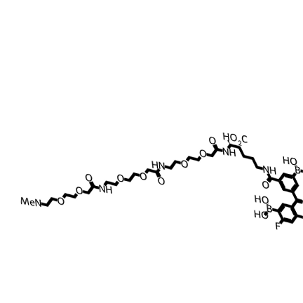 CNCCOCCOCC(=O)NCCOCCOCC(=O)NCCOCCOCC(=O)N[C@@H](CCCCNC(=O)c1cc(B(O)O)cc(C(=O)c2cc(B(O)O)c(F)cc2F)c1)C(=O)O